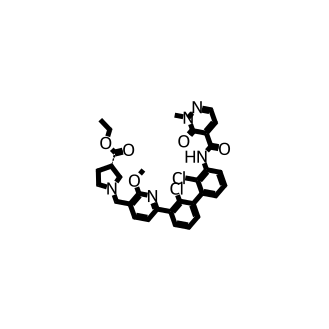 CCOC(=O)[C@H]1CCN(Cc2ccc(-c3cccc(-c4cccc(NC(=O)c5ccnn(C)c5=O)c4Cl)c3Cl)nc2OC)C1